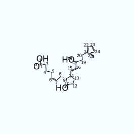 O=C(O)CCC/C=C\C[C@H]1C(O)CC[C@@H]1/C=C/[C@@H](O)CCc1cccs1